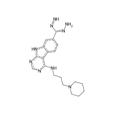 N=N/C(=N\N)c1ccc2c(c1)[nH]c1ncnc(NCCCN3CCCCC3)c12